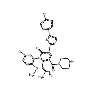 COc1ncc(Cl)cc1-n1c(C=C(C)C)c(C(=O)N2CCNCC2)cc(-c2nc(-c3ccc(Cl)cc3)cs2)c1=O